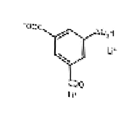 O=C([O-])c1cc(C(=O)[O-])cc(S(=O)(=O)O)c1.[Li+].[Li+]